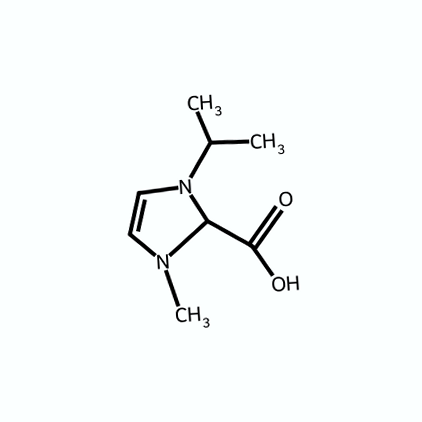 CC(C)N1C=CN(C)C1C(=O)O